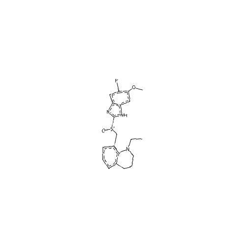 CCN1CCCc2cccc(C[S+]([O-])c3nc4cc(F)c(OC)cc4[nH]3)c21